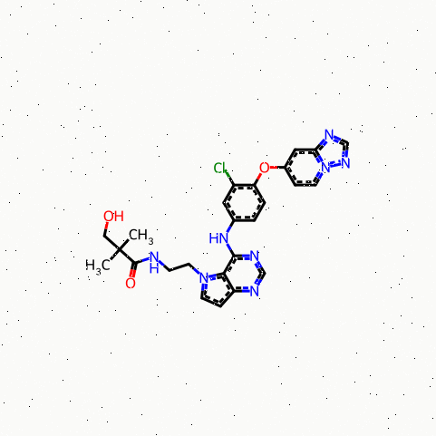 CC(C)(CO)C(=O)NCCn1ccc2ncnc(Nc3ccc(Oc4ccn5ncnc5c4)c(Cl)c3)c21